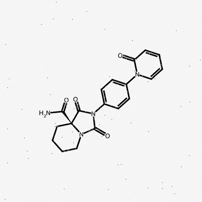 NC(=O)[C@]12[CH]CCCN1C(=O)N(c1ccc(-n3ccccc3=O)cc1)C2=O